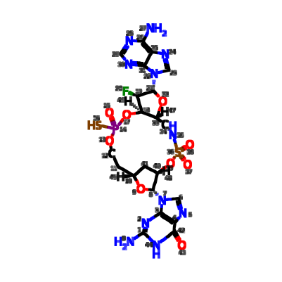 Nc1nc2c(ncn2[C@@H]2O[C@@H]3CCOP(=O)(S)O[C@H]4[C@@H](F)[C@H](n5cnc6c(N)ncnc65)O[C@@H]4CNS(=O)(=O)O[C@@H]2C3)c(=O)[nH]1